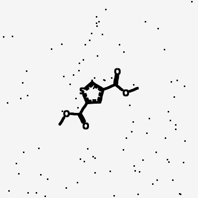 COC(=O)c1[c]sc(C(=O)OC)c1